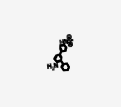 CS(=O)(=O)Nc1ccc(-c2ccc(N)c(C3=CCCCC3)c2)cc1